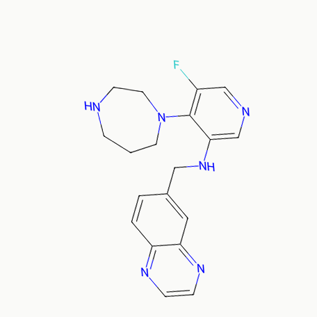 Fc1cncc(NCc2ccc3nccnc3c2)c1N1CCCNCC1